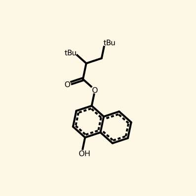 CC(C)(C)CC(C(=O)Oc1ccc(O)c2ccccc12)C(C)(C)C